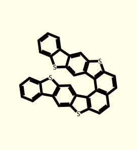 c1ccc2c(c1)sc1cc3c(cc12)sc1ccc2ccc4sc5cc6c(cc5c4c2c13)sc1ccccc16